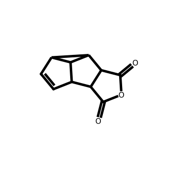 O=C1OC(=O)C2C1C1C=CC3C1C32